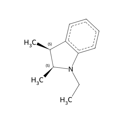 CCN1c2ccccc2[C@H](C)[C@@H]1C